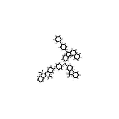 CC1(C)C2=C(c3ccccc31)C(C)(C)c1cc(-c3ccc(N(c4ccc5c(c4)C(C)(C)c4ccccc4-5)c4ccc5c(c4)c4c6ccccc6ccc4n5-c4ccc(-c5ccccc5)cc4)cc3)ccc12